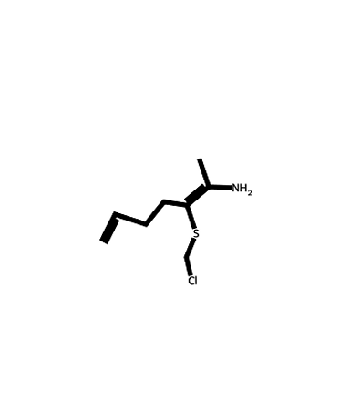 C=CCC/C(SCCl)=C(\C)N